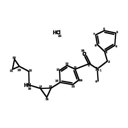 CN(Cc1ccccc1)C(=O)c1ccc(C2CC2NCC2CC2)cc1.Cl